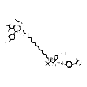 Cc1ncsc1-c1ccc(ONC(=O)[C@@]2(C(=O)C(NC(=O)C=CCCCCCCCCNC(=O)C[C@@H]3N=C(c4ccc(Cl)cc4)c4c(sc(C)c4C)-n4c(C)nnc43)C(C)(C)C)CC(O)CN2)cc1